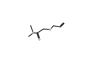 C=CCOCC(=O)N(C)C